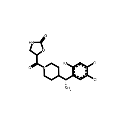 N[C@@H](c1cc(Cl)c(Cl)cc1O)C1CCN(C(=O)C2CNC(=O)O2)CC1